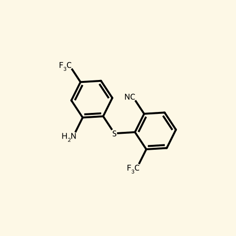 N#Cc1cccc(C(F)(F)F)c1Sc1ccc(C(F)(F)F)cc1N